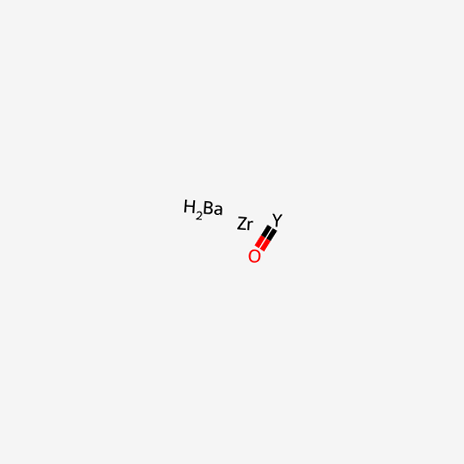 [BaH2].[O]=[Y].[Zr]